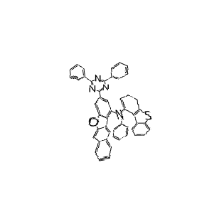 C1=C(N(c2ccccc2)c2cc(-c3nc(-c4ccccc4)nc(-c4ccccc4)n3)cc3oc4cc5ccccc5cc4c23)c2c(sc3ccccc23)CC1